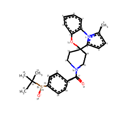 Cc1ccc2n1-c1ccccc1OC21CCN(C(=O)c2ccc([S@@+]([O-])C(C)(C)C)cc2)CC1